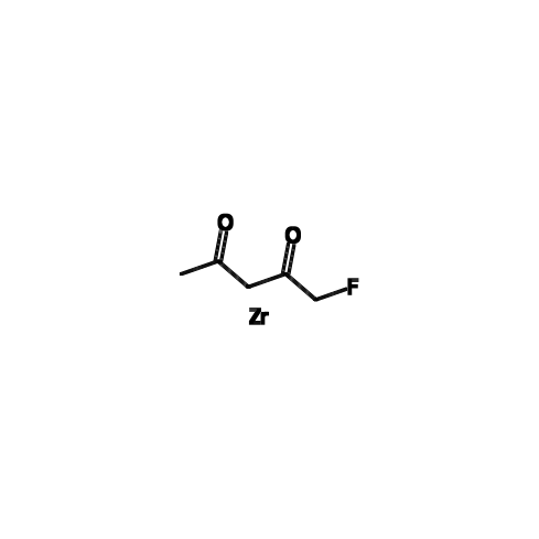 CC(=O)CC(=O)CF.[Zr]